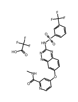 CNC(=O)c1cc(Oc2ccc3nc(NS(=O)(=O)c4cccc(C(F)(F)F)c4)nnc3c2)ccn1.O=C(O)C(F)(F)F